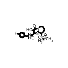 CN(C1CCCCn2c1nc(C(=O)NCc1ccc(F)cc1)c(O)c2=O)S(C)(=O)=O